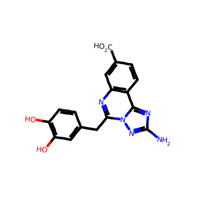 Nc1nc2c3ccc(C(=O)O)cc3nc(Cc3ccc(O)c(O)c3)n2n1